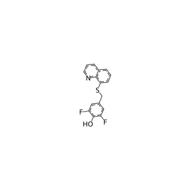 Oc1c(F)cc(CSc2cccc3cccnc23)cc1F